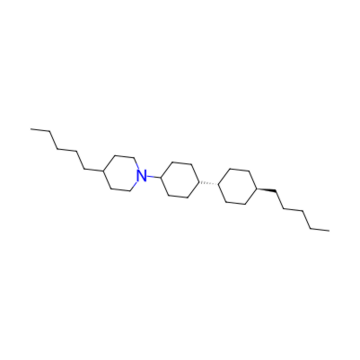 CCCCCC1CCN(C2CCC([C@H]3CC[C@H](CCCCC)CC3)CC2)CC1